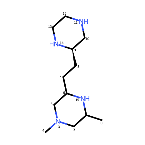 CC1CN(C)CC(CC[C@@H]2CNCCN2)N1